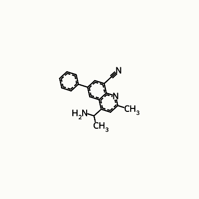 Cc1cc(C(C)N)c2cc(-c3ccccc3)cc(C#N)c2n1